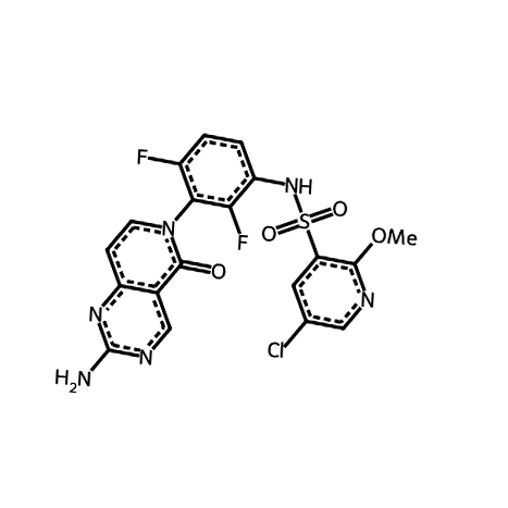 COc1ncc(Cl)cc1S(=O)(=O)Nc1ccc(F)c(-n2ccc3nc(N)ncc3c2=O)c1F